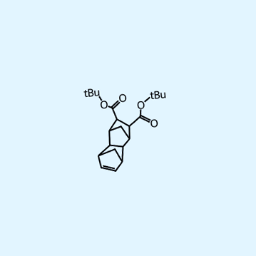 CC(C)(C)OC(=O)C1C2CC(C1C(=O)OC(C)(C)C)C1C3C=CC(C3)C21